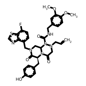 C=CCN1CC(=O)N2C(CN(Cc3ccc(F)c4scnc34)C(=O)[C@@H]2Cc2ccc(O)cc2)N1C(=O)NCc1ccc(OC)c(OC)c1